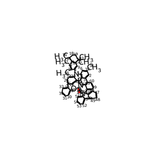 Cc1cc2c3c(c1)N(c1cc4c(cc1C)C(C)(C)CCC4(C)C)c1ccc4c(oc5ccccc54)c1B3N1c3ccccc3[Si]3(c4ccccc4-c4ccccc43)c3cccc-2c31